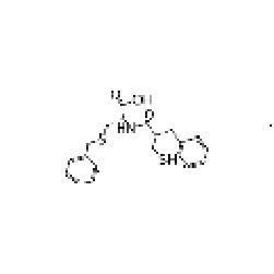 O=C(N[C@H](CSCc1ccccc1)C(=O)O)C(CS)Cc1ccccc1